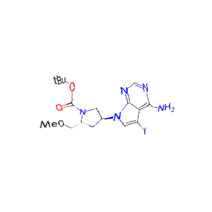 COC[C@H]1C[C@H](n2cc(I)c3c(N)ncnc32)CN1C(=O)OC(C)(C)C